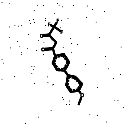 COc1ccc(-c2ccc(C(=O)CC(=O)C(F)(F)F)cc2)cc1